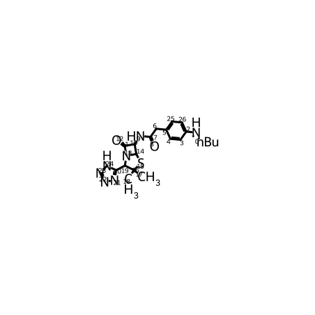 CCCCNc1ccc(CC(=O)NC2C(=O)N3C2SC(C)(C)C3c2nnn[nH]2)cc1